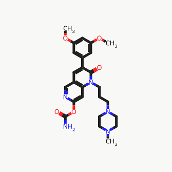 COc1cc(OC)cc(-c2cc3cnc(OC(N)=O)cc3n(CCCN3CCN(C)CC3)c2=O)c1